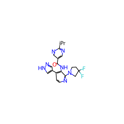 CC(C)c1ncc(C(=O)Nc2c(-c3cn[nH]c3)ccnc2N2CCC(F)(F)C2)cn1